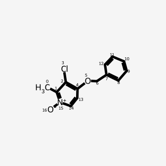 Cc1c(Cl)c(OCc2ccccc2)cc[n+]1[O-]